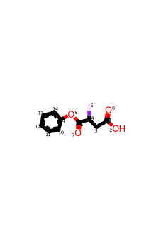 O=C(O)CC(I)C(=O)Oc1ccccc1